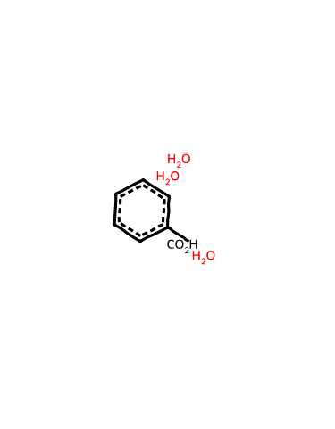 O.O.O.O=C(O)c1ccccc1